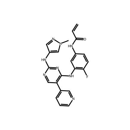 C=CC(=O)Nc1ccc(F)c(Nc2nc(Nc3cnn(C)c3)ncc2-c2cccnc2)c1